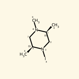 C[C@H]1CN(I)[C@@H](C)CN1C